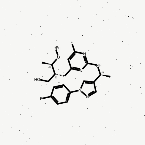 C[C@H](Nc1nc(F)cc(C[C@H](CO)[C@@H](C)OC(C)(C)C)n1)c1cnn(-c2ccc(F)cc2)c1